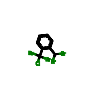 ClC(Br)(Br)c1ccccc1C(Br)Br